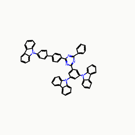 c1ccc(-c2nc(-c3ccc(-c4ccc(-n5c6ccccc6c6ccccc65)cc4)cc3)nc(-c3cc(-n4c5ccccc5c5ccccc54)cc(-n4c5ccccc5c5ccccc54)c3)n2)cc1